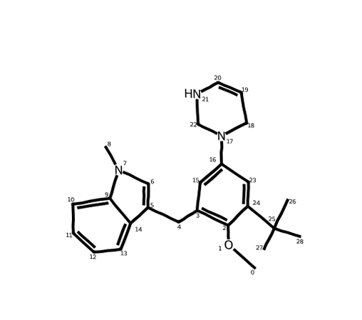 COc1c(Cc2cn(C)c3ccccc23)cc(N2CC=CNC2)cc1C(C)(C)C